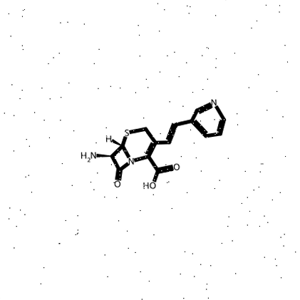 N[C@@H]1C(=O)N2C(C(=O)O)=C(/C=C/c3cccnc3)CS[C@@H]12